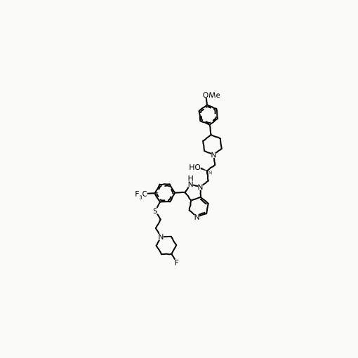 COc1ccc(C2CCN(C[C@H](O)CN3NC(c4ccc(C(F)(F)F)c(SCCN5CCC(F)CC5)c4)C4CN=CC=C43)CC2)cc1